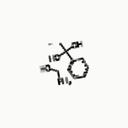 CCC(O)(O)c1ccccc1.OCP